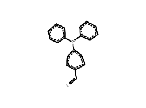 O=Cc1ccc([S+](c2ccccc2)c2ccccc2)cc1